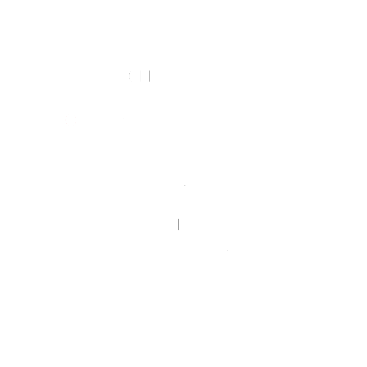 CC(=O)C1C2CCC3(CCCC3)C[C@@H]21